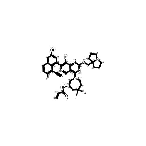 C#Cc1c(F)ccc2cc(O)cc(-c3ncc4c(N5CCC(F)(F)C[C@@H](NC(=O)C=C)C5)nc(OCC56CCCN5CCC6)nc4c3F)c12